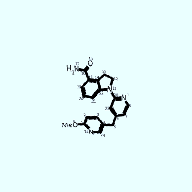 COc1ccc(Cc2ccnc(N3CCc4c(C(N)=O)cccc43)c2)cn1